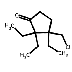 CCC1(CC)CCC(=O)C1(CC)CC